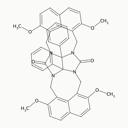 COc1ccc2ccc(OC)c3c2c1CN1C(=O)N2Cc4c(OC)ccc5ccc(OC)c(c45)CN4C(=O)N(C3)C1(c1ccccc1)C24c1ccccc1